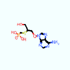 Nc1ncnc2c1ncn2OCC(CO)SCP(=O)(O)O